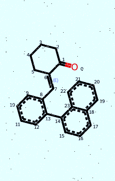 O=C1CCCC/C1=C\c1ccccc1-c1cccc2ccccc12